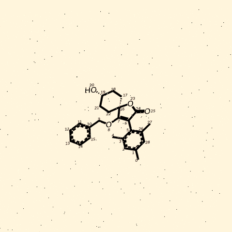 Cc1cc(C)c(C2=C(OCc3ccccc3)[C@]3(CC[C@@H](O)CC3)OC2=O)c(C)c1